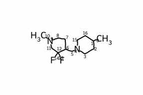 CC1CCN(CC2CCN(C)CC2(F)F)CC1